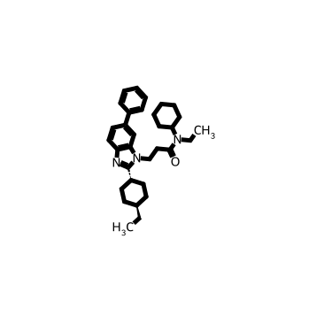 CCN(C(=O)CCn1c2cc(-c3ccccc3)ccc2nc1[C@H]1CC[C@H](CC)CC1)C1CCCCC1